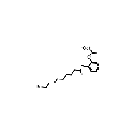 CCCCCCCCC(=O)Oc1ccccc1OC(=O)CCCCCCCCC(C)(C)C